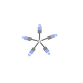 N#[C][Cr]([C]#N)([C]#N)([C]#N)[C]#N